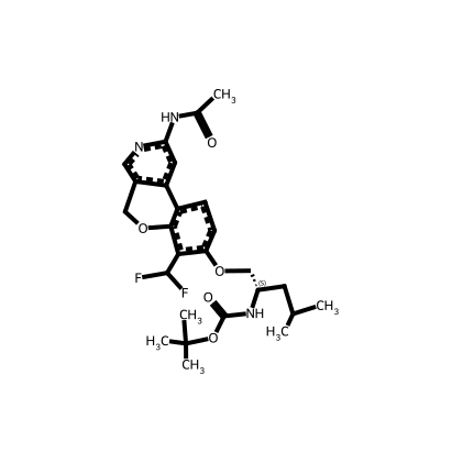 CC(=O)Nc1cc2c(cn1)COc1c-2ccc(OC[C@H](CC(C)C)NC(=O)OC(C)(C)C)c1C(F)F